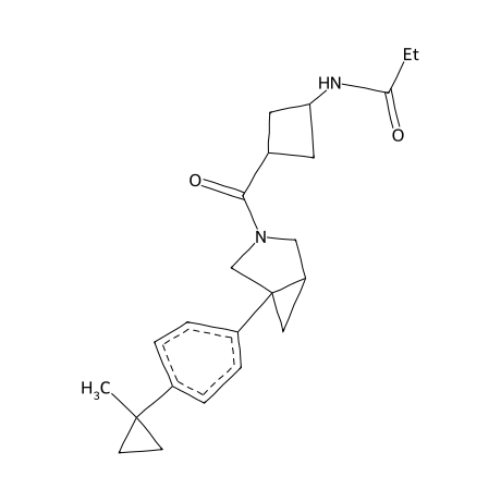 CCC(=O)NC1CC(C(=O)N2CC3CC3(c3ccc(C4(C)CC4)cc3)C2)C1